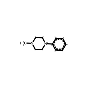 CN1CCN(c2cc[c]cc2)CC1